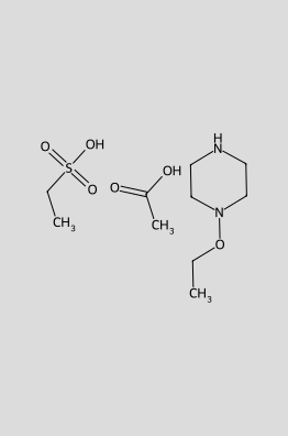 CC(=O)O.CCON1CCNCC1.CCS(=O)(=O)O